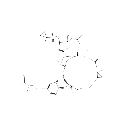 CC[C@@H]1[C@@H]2CN(C(=O)[C@H](C(C)(C)C)NC(=O)O[C@@H]3C[C@H]3CCCCC(F)(F)c3nc4ccc(OC)cc4nc3O2)[C@@H]1C(=O)N[C@]1(C(=O)NS(=O)(=O)C2(C)CC2)C[C@H]1C(F)F.CN(C)CCO